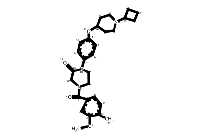 COc1cc(C(=O)N2CCN(c3ccc(OC4CCN(C5CCC5)CC4)cc3)C(=O)C2)ccc1C